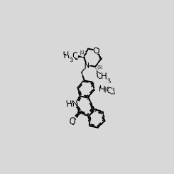 C[C@H]1COC[C@H](C)N1Cc1ccc2c(c1)[nH]c(=O)c1ccccc12.Cl